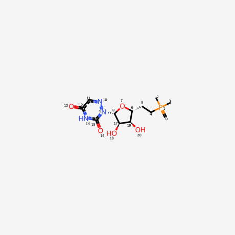 C=P(C)(C)CC[C@H]1O[C@@H](n2ncc(=O)[nH]c2=O)[C@H](O)[C@@H]1O